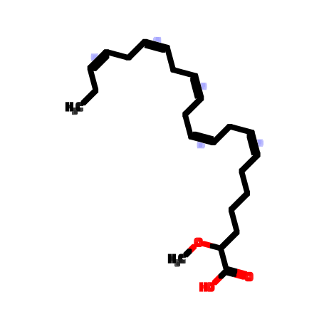 CC/C=C\C/C=C\C/C=C\C/C=C\C/C=C\CCCCC(OC)C(=O)O